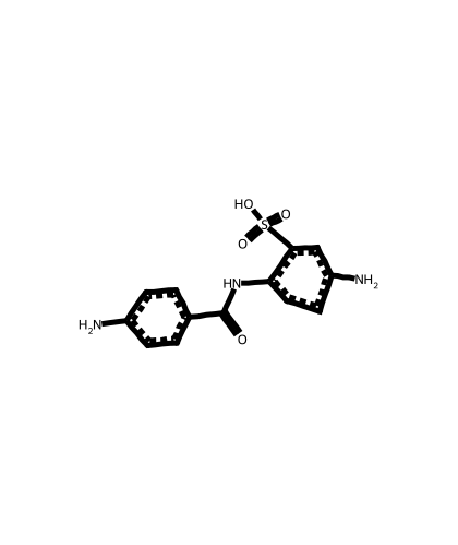 Nc1ccc(C(=O)Nc2ccc(N)cc2S(=O)(=O)O)cc1